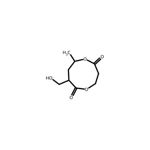 CC1CC(CO)C(=O)OCCC(=O)O1